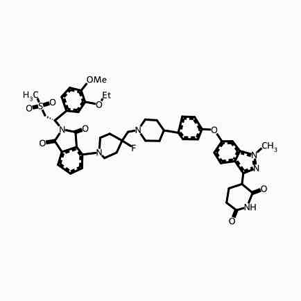 CCOc1cc([C@@H](CS(C)(=O)=O)N2C(=O)c3cccc(N4CCC(F)(CN5CCC(c6ccc(Oc7ccc8c(C9CCC(=O)NC9=O)nn(C)c8c7)cc6)CC5)CC4)c3C2=O)ccc1OC